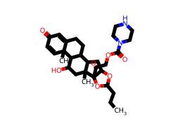 CCCC1OC2CC3C4CCC5=CC(=O)C=CC5(C)C4C(O)CC3(C)C2(C(=O)COC(=O)N2CCNCC2)O1